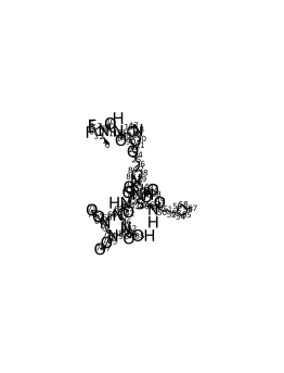 C#C[C@H]1CC(F)(F)CN1C(=O)CNC(=O)c1ccnc2ccc(OCCCC3CCN(C(=O)[C@H](CC(=O)OC)NC(=O)[C@H](CSCCNC(=O)CCCc4ccc(C)cc4)NC(=O)CN4CCN(COC=O)CCN(COC=O)CCN(CC(=O)O)CC4)CC3)cc12